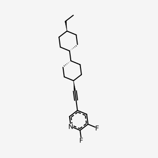 CC[C@H]1CC[C@H]([C@H]2CC[C@H](C#Cc3cnc(F)c(F)c3)CC2)CC1